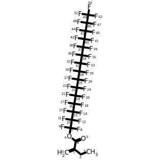 C=C(CC)C(=O)OC(F)(F)C(F)(F)C(F)(F)C(F)(F)C(F)(F)C(F)(F)C(F)(F)C(F)(F)C(F)(F)C(F)(F)C(F)(F)C(F)(F)C(F)(F)C(F)(F)C(F)(F)F